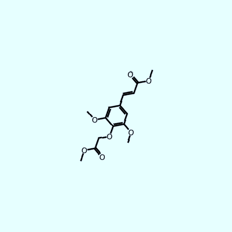 COC(=O)C=Cc1cc(OC)c(OCC(=O)OC)c(OC)c1